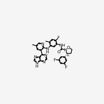 Cc1cnc(Nc2cc(NC(=O)N3OCC[C@@H]3c3cc(F)cc(F)c3)c(F)cc2C)c(-c2ncnc3[nH]cnc23)c1